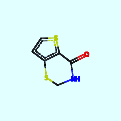 O=C1NCSc2ccsc21